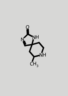 CC1CC2(C=NC(=O)N2)CCN1